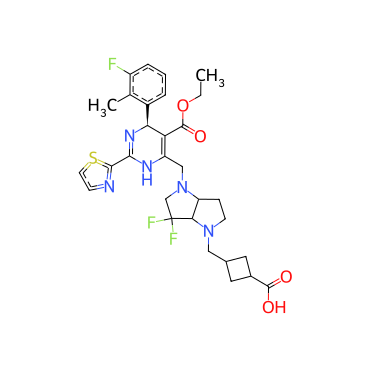 CCOC(=O)C1=C(CN2CC(F)(F)C3C2CCN3CC2CC(C(=O)O)C2)NC(c2nccs2)=N[C@H]1c1cccc(F)c1C